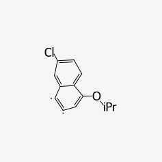 CC(C)Oc1c[c][c]c2cc(Cl)ccc12